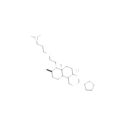 C=C1CCC2[C@]3(C)CO[C@@H](C4CCCC4)O[C@@H]3CC[C@@]2(C)[C@@H]1CCOCCCN(C)C